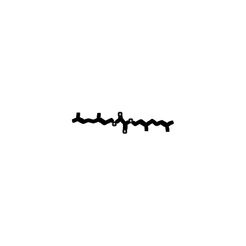 CC(C)=CCC/C(C)=C/COC(=O)C(=O)OC/C=C(\C)CCC=C(C)C